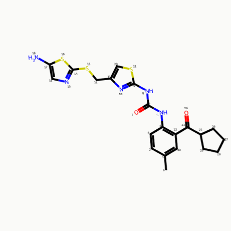 Cc1ccc(NC(=O)Nc2nc(CSc3ncc(N)s3)cs2)c(C(=O)C2CCCC2)c1